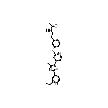 CCc1cc(-c2nc(C)c(-c3ccnc(Nc4cccc(CCNC(C)=O)c4)n3)s2)ccn1